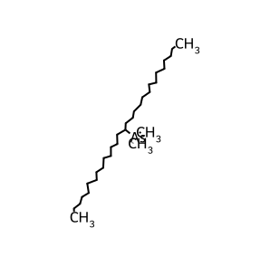 CCCCCCCCCCCCCCC(CCCCCCCCCCCCCC)[As](C)C